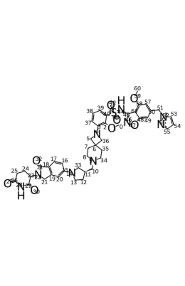 COc1c(N2CC3(CCN(C[C@H]4CCN(c5ccc6c(c5)CN(C5CCC(=O)NC5=O)C6=O)C4)CC3)C2)cccc1S(=O)(=O)Nc1noc2cc(Cn3cccn3)cc(OC)c12